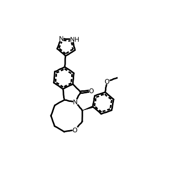 COc1cccc([C@H]2COCCCCC3c4ccc(-c5cn[nH]c5)cc4C(=O)N32)c1